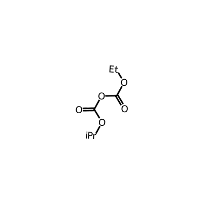 CCOC(=O)OC(=O)OC(C)C